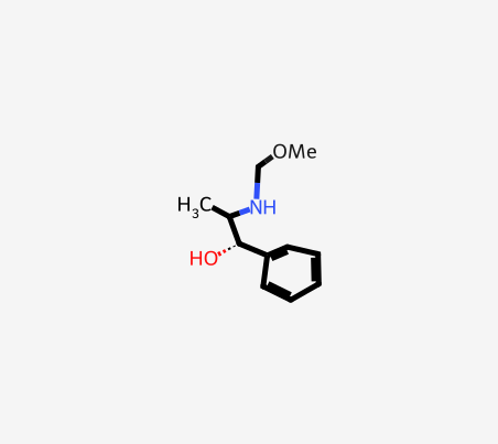 COCNC(C)[C@@H](O)c1ccccc1